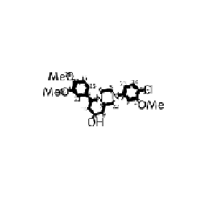 COc1cc(N2CCN3C(CC(O)CC3c3ccc(OC)c(OC)c3)C2)ccc1Cl